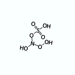 O=S(=O)(O)ON(O)OO